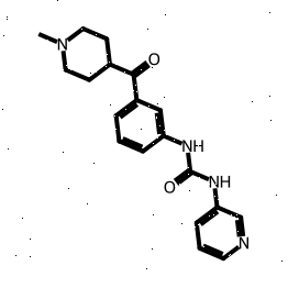 CN1CCC(C(=O)c2cccc(NC(=O)Nc3cccnc3)c2)CC1